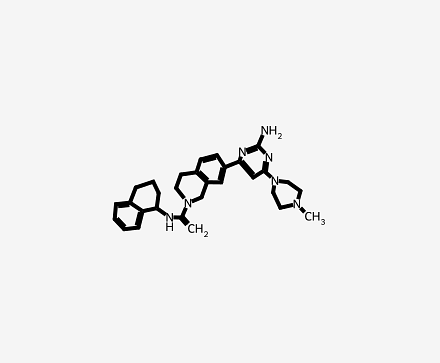 C=C(NC1CCCc2ccccc21)N1CCc2ccc(-c3cc(N4CCN(C)CC4)nc(N)n3)cc2C1